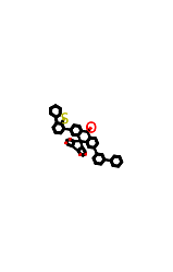 O=C1c2ccc(-c3cccc(-c4ccccc4)c3)cc2C2(c3cc(-c4cccc5c4sc4ccccc45)ccc31)c1ccccc1-c1ccccc12